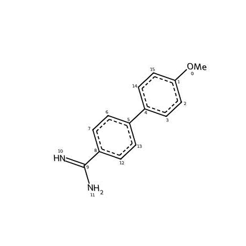 COc1ccc(-c2ccc(C(=N)N)cc2)cc1